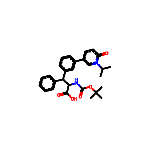 CC(C)n1cc(-c2cccc(C(c3ccccc3)C(NC(=O)OC(C)(C)C)C(=O)O)c2)ccc1=O